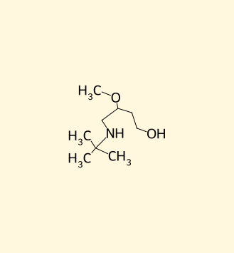 COC(CCO)CNC(C)(C)C